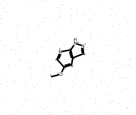 COc1cnc2[nH]ncc2c1